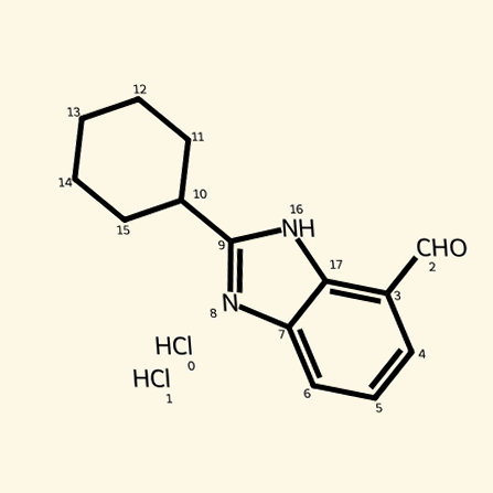 Cl.Cl.O=Cc1cccc2nc(C3CCCCC3)[nH]c12